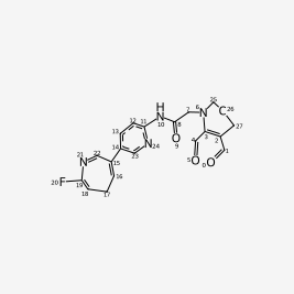 O=CC1=C(C=O)N(CC(=O)Nc2ccc(C3=CCC=C(F)N=C3)cn2)CCC1